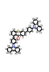 O=c1c2ccc(-c3ccc(-n4c5ccccc5c5ccccc54)cc3)cc2sc2cccc(-c3ccc(-n4c5ccccc5c5ccccc54)cc3)c12